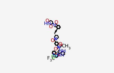 C[C@@H]1CN(C(=O)[C@@H]2NC3(CCCCC3)[C@@]3(CNc4cc(C(F)(F)F)ncc43)[C@H]2c2cccc(Cl)c2F)c2ccc(C(=O)N3CCC[C@@H](CC#Cc4cccc5c4CN([C@H]4CCC(=O)NC4=O)C5=O)C3)cc2O1